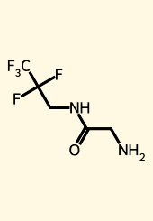 NCC(=O)NCC(F)(F)C(F)(F)F